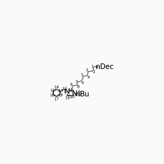 CCCCCCCCCCCCCCCCCCCc1n(Cc2ccccc2)cc[n+]1CCCC